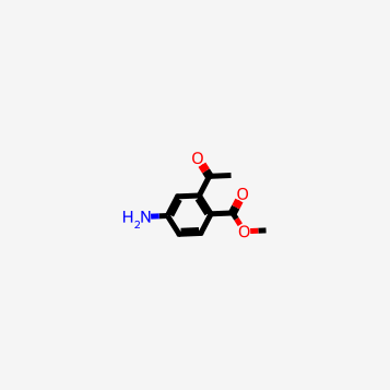 COC(=O)c1ccc(N)cc1C(C)=O